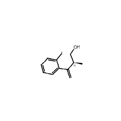 C=C(c1ccccc1I)[C@H](C)CO